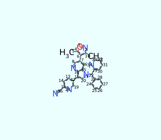 Cc1noc(C)c1-c1cnc2c(-c3ccc(C#N)nc3)cn(C(c3ccccc3)c3ccccn3)c2c1